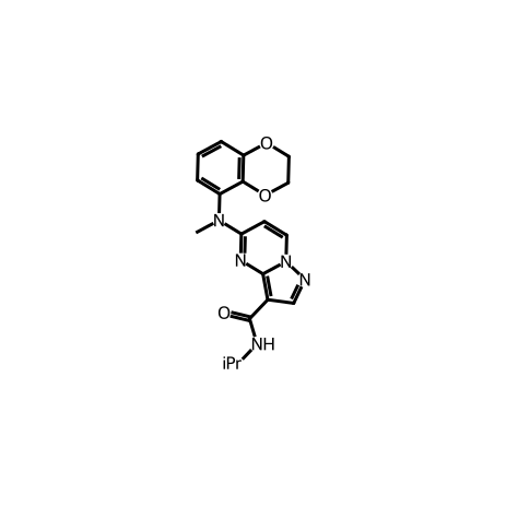 CC(C)NC(=O)c1cnn2ccc(N(C)c3cccc4c3OCCO4)nc12